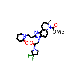 COC(=O)N1c2ccc3c(nc(CCn4ccccc4=O)n3CC(=O)N3CCC(F)(F)C3)c2CC[C@@H]1C